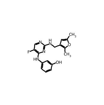 Cc1cc(CNc2ncc(F)c(Nc3cccc(O)c3)n2)c(C)o1